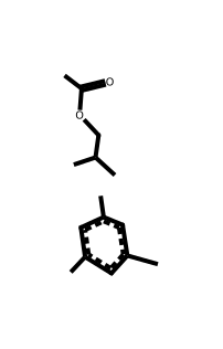 CC(=O)OCC(C)C.Cc1cc(C)cc(C)c1